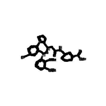 COC(=O)c1cccc(NC(=O)C[C@H]2O[C@H](c3cccc(OC)c3OC)c3cc(Cl)ccc3-n3cccc32)c1